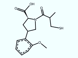 COc1ccccc1C1C[C@@H](C(=O)O)N(C(=O)C(C)CS)C1